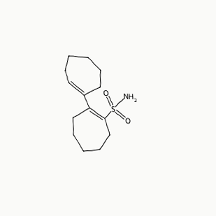 NS(=O)(=O)C1=C(C2=CCCCCC2)CCCCC1